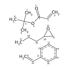 C=CC(=O)OC(C)(C)C.C=Cc1ccccc1.CCCC1CO1